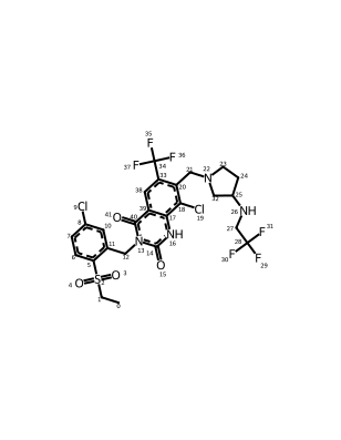 CCS(=O)(=O)c1ccc(Cl)cc1Cn1c(=O)[nH]c2c(Cl)c(CN3CCC(NCC(F)(F)F)C3)c(C(F)(F)F)cc2c1=O